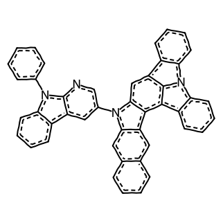 c1ccc(-n2c3ccccc3c3cc(-n4c5cc6ccccc6cc5c5c6c7ccccc7n7c8ccccc8c(cc54)c67)cnc32)cc1